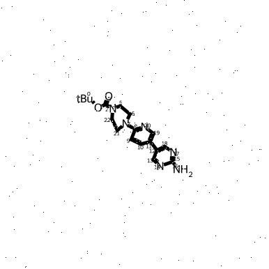 CC(C)(C)OC(=O)N1CCN(c2ccc(-c3cnc(N)nc3)cn2)CC1